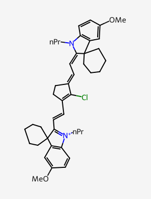 CCCN1/C(=C/C=C2\CCC(/C=C/C3=[N+](CCC)c4ccc(OC)cc4C34CCCCC4)=C2Cl)C2(CCCCC2)c2cc(OC)ccc21